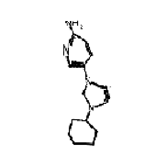 Nc1ccc(N2[C]=CN(C3CCCCC3)C2)cn1